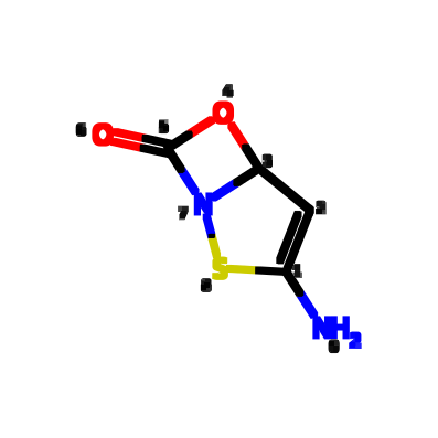 NC1=CC2OC(=O)N2S1